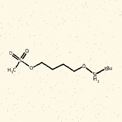 CC(C)(C)[SiH2]OCCCCOS(C)(=O)=O